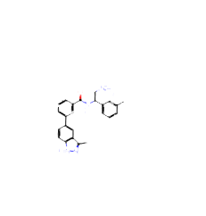 Cc1cccc(C(CN)NC(=O)c2cccc(-c3ccc4[nH]nc(C)c4c3)c2)c1